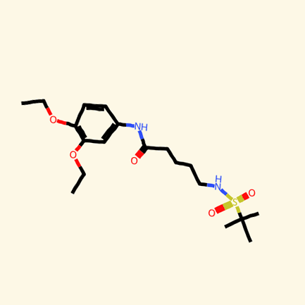 CCOc1ccc(NC(=O)CCCCNS(=O)(=O)C(C)(C)C)cc1OCC